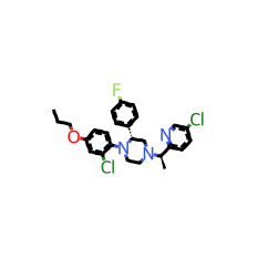 CCCOc1ccc(N2CCN([C@H](C)c3ccc(Cl)cn3)C[C@H]2c2ccc(F)cc2)c(Cl)c1